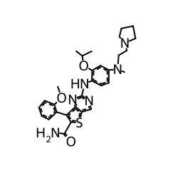 COc1ccccc1-c1c(C(N)=O)sc2cnc(Nc3ccc(N(C)CCN4CCCC4)cc3OC(C)C)nc12